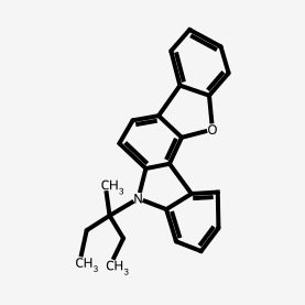 CCC(C)(CC)n1c2ccccc2c2c3oc4ccccc4c3ccc21